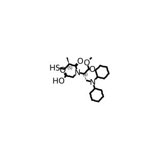 COC(=O)[C@H](CN(C1CCCCC1)C1CCCCC1)N(CC(=O)O)C(=O)[C@H](C)CS